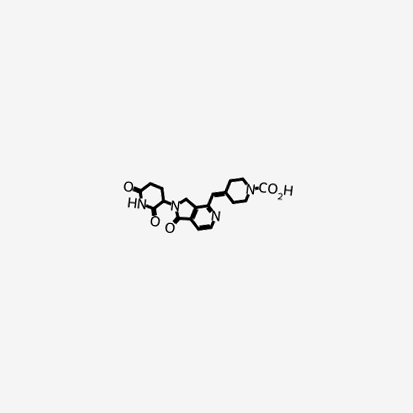 O=C1CCC(N2Cc3c(ccnc3C=C3CCN(C(=O)O)CC3)C2=O)C(=O)N1